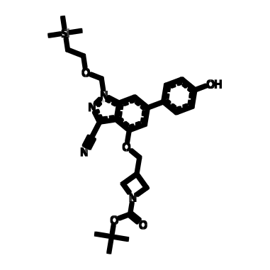 CC(C)(C)OC(=O)N1CC(COc2cc(-c3ccc(O)cc3)cc3c2c(C#N)nn3COCC[Si](C)(C)C)C1